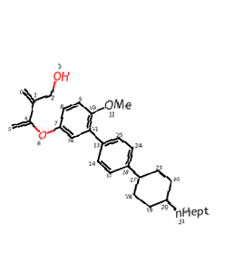 C=C(CO)C(=C)Oc1ccc(OC)c(-c2ccc(C3CCC(CCCCCCC)CC3)cc2)c1